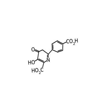 O=C(O)C1=C(O)C(=O)CC(c2ccc(C(=O)O)cc2)=N1